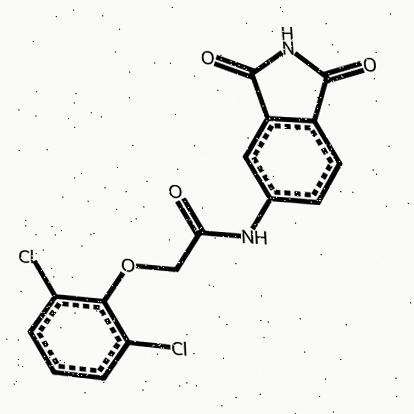 O=C(COc1c(Cl)cccc1Cl)Nc1ccc2c(c1)C(=O)NC2=O